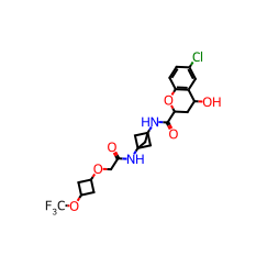 O=C(COC1CC(OC(F)(F)F)C1)NC12CC(NC(=O)C3CC(O)c4cc(Cl)ccc4O3)(C1)C2